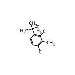 Cc1c(Cl)ccc(C(C)(C)C)c1Cl